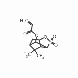 C=CC(=O)OC1C2CC3OS(=O)(=O)C1C3C2(C(F)(F)F)C(F)(F)F